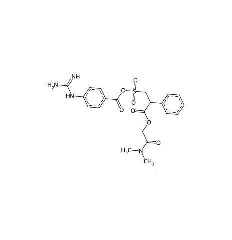 CN(C)C(=O)COC(=O)C(CS(=O)(=O)OC(=O)c1ccc(NC(=N)N)cc1)c1ccccc1